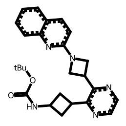 CC(C)(C)OC(=O)NC1CC(c2nccnc2C2CN(c3ccc4ccccc4n3)C2)C1